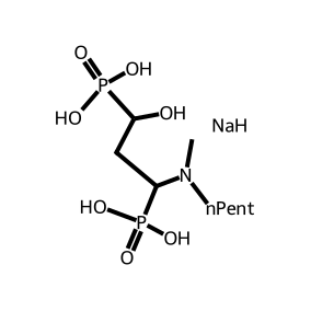 CCCCCN(C)C(CC(O)P(=O)(O)O)P(=O)(O)O.[NaH]